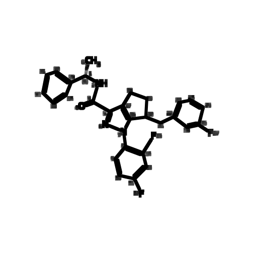 C[C@H](NC(=O)c1nn(-c2ccc(F)cc2F)c2c1CCC2Cc1cccc(F)c1)c1ccccc1